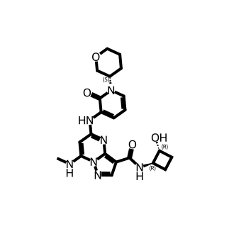 CNc1cc(Nc2cccn([C@H]3CCCOC3)c2=O)nc2c(C(=O)N[C@@H]3CC[C@H]3O)cnn12